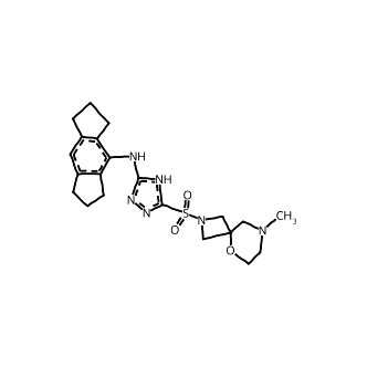 CN1CCOC2(C1)CN(S(=O)(=O)c1nnc(Nc3c4c(cc5c3CCC5)CCC4)[nH]1)C2